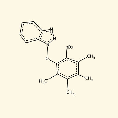 CCCCc1c(C)c(C)c(C)c(C)c1On1nnc2ccccc21